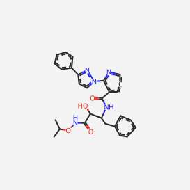 CC(C)ONC(=O)C(O)C(Cc1ccccc1)NC(=O)c1cccnc1-n1ccc(-c2ccccc2)n1